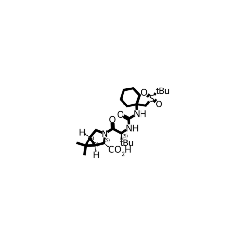 CC(C)(C)[C@H](NC(=O)NC1(CS(=O)(=O)C(C)(C)C)CCCCC1)C(=O)N1C[C@H]2[C@@H]([C@H]1C(=O)O)C2(C)C